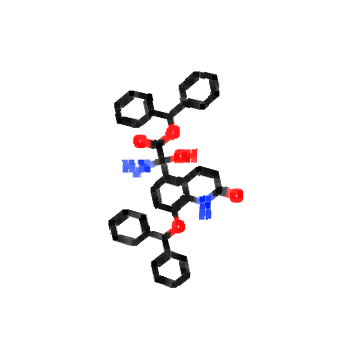 NC(O)(C(=O)OC(c1ccccc1)c1ccccc1)c1ccc(OC(c2ccccc2)c2ccccc2)c2[nH]c(=O)ccc12